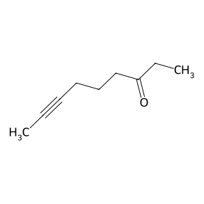 CC#CCCCC(=O)CC